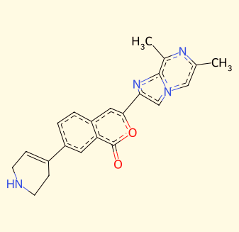 Cc1cn2cc(-c3cc4ccc(C5=CCNCC5)cc4c(=O)o3)nc2c(C)n1